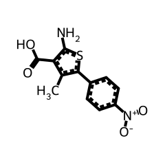 Cc1c(-c2ccc([N+](=O)[O-])cc2)sc(N)c1C(=O)O